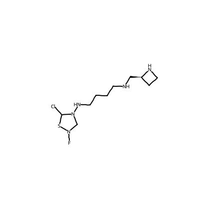 FN1CN(NCCCCNC[C@@H]2CCN2)C(Cl)S1